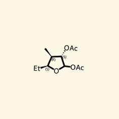 CC[C@@H]1OC(OC(C)=O)[C@@H](OC(C)=O)[C@@H]1C